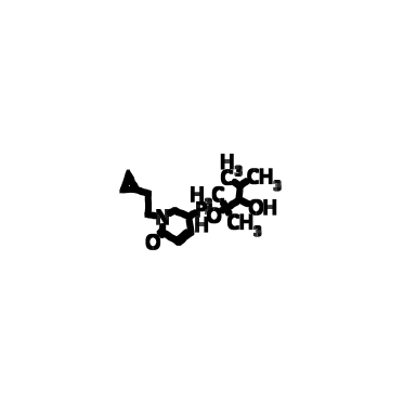 CC(C)C(O)C(C)(C)OPC1C=CC(=O)N(CCC2CC2)C1